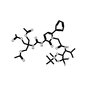 CC(=O)OCC(COC(C)=O)(COC(C)=O)NC(=O)Nc1ccc(-c2ccccc2)n(CC(=O)NC(C(C)C)C(O[Si](C)(C)C(C)(C)C)C(F)(F)F)c1=O